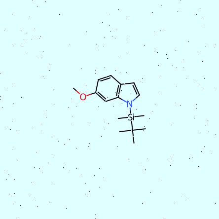 COc1ccc2ccn([Si](C)(C)C(C)(C)C)c2c1